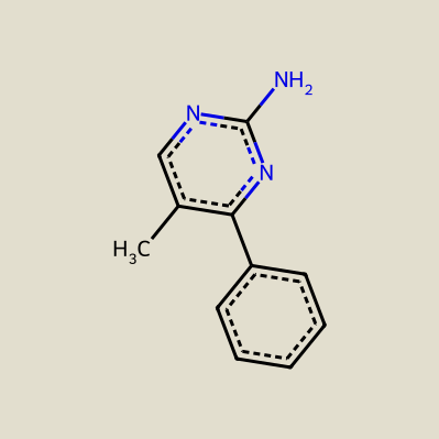 Cc1cnc(N)nc1-c1ccccc1